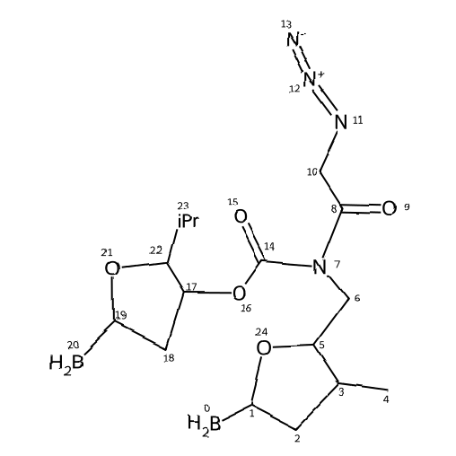 BC1CC(C)C(CN(C(=O)CN=[N+]=[N-])C(=O)OC2CC(B)OC2C(C)C)O1